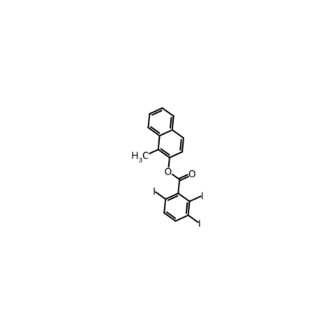 Cc1c(OC(=O)c2c(I)ccc(I)c2I)ccc2ccccc12